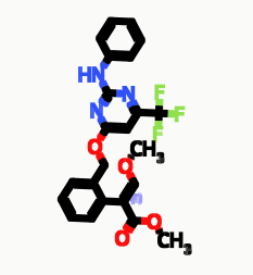 CO/C=C(/C(=O)OC)c1ccccc1COc1cc(C(F)(F)F)nc(Nc2ccccc2)n1